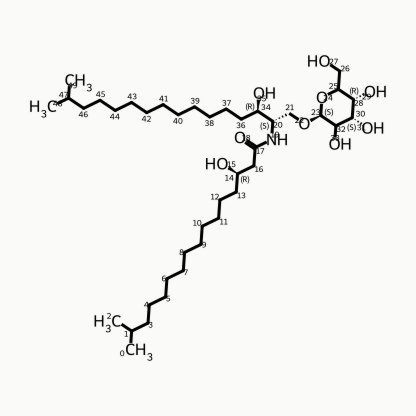 CC(C)CCCCCCCCCCC[C@@H](O)CC(=O)N[C@@H](CO[C@H]1OC(CO)[C@H](O)[C@H](O)C1O)[C@H](O)CCCCCCCCCCCC(C)C